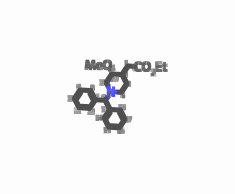 CCOC(=O)CC1CCN(C(c2ccccc2)c2ccccc2)C[C@@H]1OC